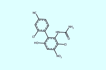 N#Cc1ccc(-c2c(O)cc([N+](=O)[O-])c(Cl)c2NC(N)=O)c(Cl)c1